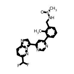 Cc1c(CN[S+](C)[O-])cccc1-c1cc(-c2cnc3ccc(C(F)F)nn23)ncn1